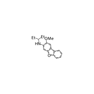 CCC(CC)Nc1cc2oc3ccccc3c2cc1OC